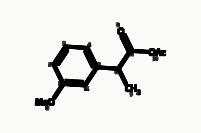 COc1cccc(C(C)C(=O)OC(C)=O)c1